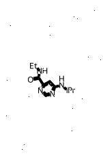 CCNC(=O)c1cc(NC(C)C)ncn1